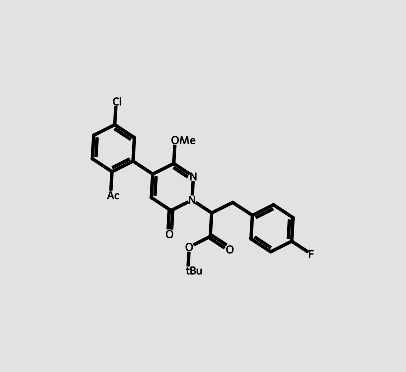 COc1nn(C(Cc2ccc(F)cc2)C(=O)OC(C)(C)C)c(=O)cc1-c1cc(Cl)ccc1C(C)=O